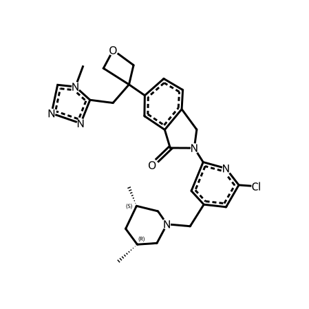 C[C@@H]1C[C@H](C)CN(Cc2cc(Cl)nc(N3Cc4ccc(C5(Cc6nncn6C)COC5)cc4C3=O)c2)C1